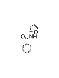 CC1(NC(=O)c2ccccc2)CC=CO1